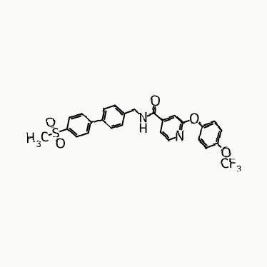 CS(=O)(=O)c1ccc(-c2ccc(CNC(=O)c3ccnc(Oc4ccc(OC(F)(F)F)cc4)c3)cc2)cc1